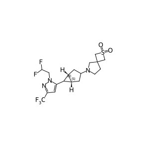 O=S1(=O)CC2(CCN(C3C[C@@H]4C(c5cc(C(F)(F)F)nn5CC(F)F)[C@@H]4C3)C2)C1